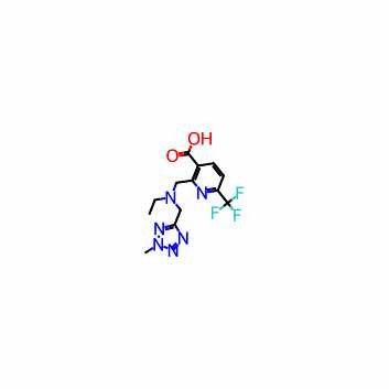 CCN(Cc1nnn(C)n1)Cc1nc(C(F)(F)F)ccc1C(=O)O